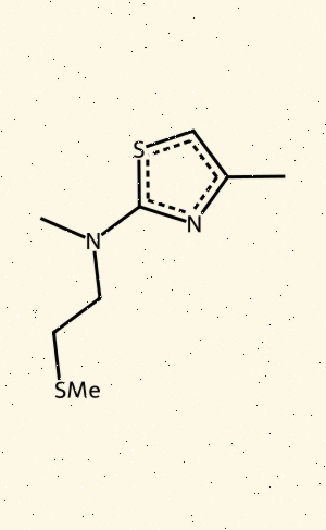 CSCCN(C)c1nc(C)cs1